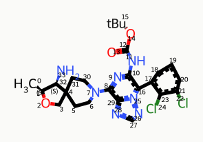 C[C@@H]1OCC2(CCN(c3nc(NC(=O)OC(C)(C)C)c(-c4cccc(Cl)c4Cl)n4ncnc34)CC2)[C@@H]1N